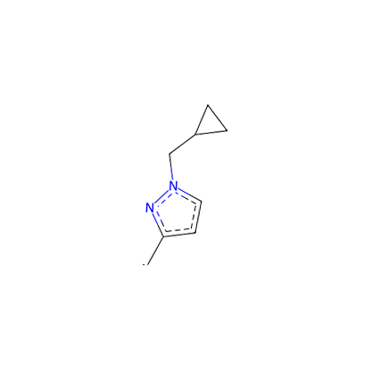 [CH2]c1ccn(CC2CC2)n1